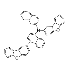 c1ccc2cc(N(c3ccc4oc5ccccc5c4c3)c3ccc(-c4ccc5oc6ccccc6c5c4)c4ccccc34)ccc2c1